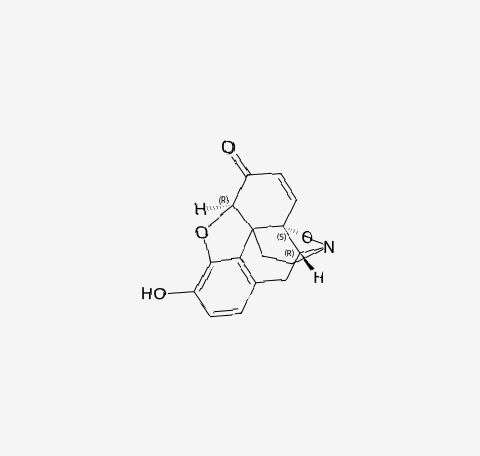 O=C1C=C[C@]23OCN4CCC25c2c(ccc(O)c2O[C@@H]15)C[C@@H]43